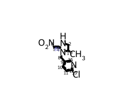 CC1CN/C(=C\[N+](=O)[O-])N1Cc1ccc(Cl)nc1